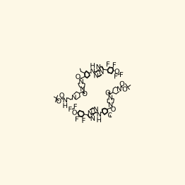 CCc1cc(Nc2nccn3c(-c4ccc(OC(F)F)c(F)c4F)cnc23)ccc1C(=O)N1CCN(C(=O)C2CCN(C(=O)OC(C)(C)C)CC2)CC1.CCc1cc(Nc2nccn3c(-c4ccc(OC(F)F)c(F)c4F)cnc23)ccc1C(=O)N1CCN(C(=O)C2CCN(CCNC(=O)OC(C)(C)C)CC2)CC1